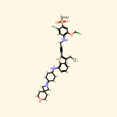 CC(=O)NS(=O)(=O)c1cc(OCF)c(NCC#Cc2sc3c(NC4CCC(N5CC6(CCOCC6)C5)CC4)cccc3c2CC(F)(F)F)cc1F